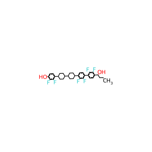 CCCC(O)c1ccc(-c2ccc(C3CCC(C4CCC(c5ccc(O)c(F)c5F)CC4)CC3)c(F)c2F)c(F)c1F